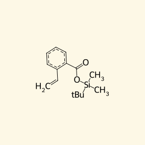 C=Cc1ccccc1C(=O)O[Si](C)(C)C(C)(C)C